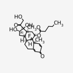 CCCCC(=O)O[C@H]1C[C@@]2(C)[C@@H](C[C@@H](O)[C@]2(O)C(=O)CO)[C@@H]2CCC3=CC(=O)C=C[C@]3(C)[C@@]12F